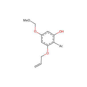 C=CCOc1cc(OCOC)cc(O)c1C(C)=O